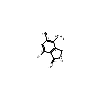 Cc1c(Br)cc(F)c2c1COC2=O